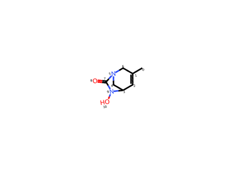 CC1=CC2CN(C1)C(=O)N2O